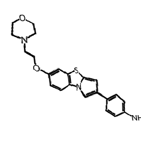 Nc1ccc(-c2cc3sc4cc(OCCN5CCOCC5)ccc4n3c2)cc1